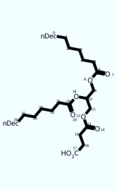 CCCCCCCCCCCCCCCC(=O)OCC(COC(=O)CCC(=O)O)OC(=O)CCCCCCCCCCCCCCC